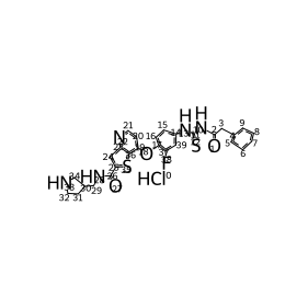 Cl.O=C(Cc1ccccc1)NC(=S)Nc1ccc(Oc2ccnc3cc(C(=O)NCC4CCNC4)sc23)c(F)c1